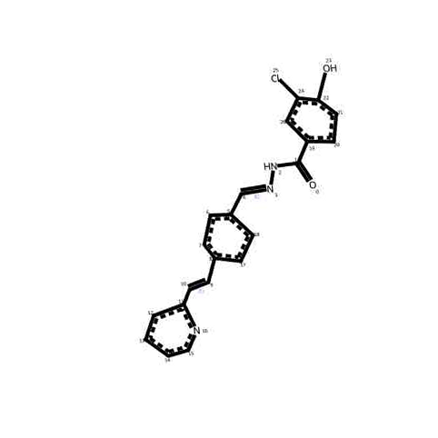 O=C(N/N=C/c1ccc(/C=C/c2ccccn2)cc1)c1ccc(O)c(Cl)c1